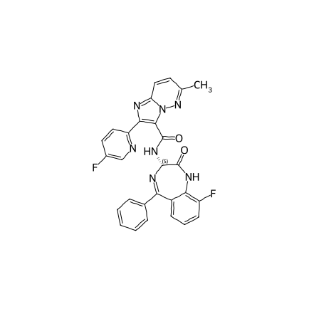 Cc1ccc2nc(-c3ccc(F)cn3)c(C(=O)N[C@H]3N=C(c4ccccc4)c4cccc(F)c4NC3=O)n2n1